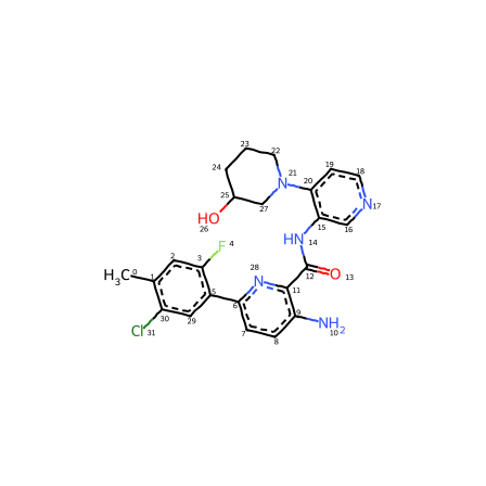 Cc1cc(F)c(-c2ccc(N)c(C(=O)Nc3cnccc3N3CCCC(O)C3)n2)cc1Cl